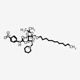 CCCCCCCCCCCCOC[C@@]12O[C@@H](CN3CCCCC3)[C@@H](OC(=O)Nc3ccc([N+](=O)[O-])cc3)[C@@H]1OC(C)(C)O2